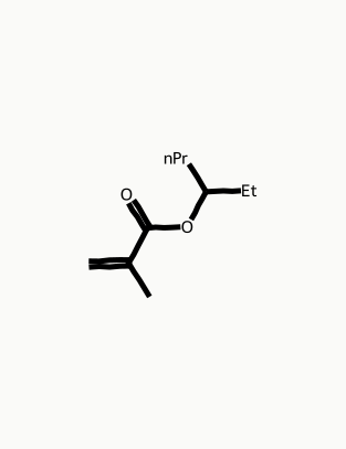 [CH2]CC(CCC)OC(=O)C(=C)C